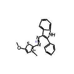 COc1c[n+](C)c(/N=N/c2c(-c3ccccc3)[nH]c3ccccc23)s1